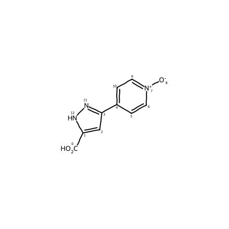 O=C(O)c1cc(-c2cc[n+]([O-])cc2)n[nH]1